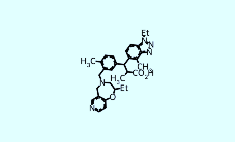 CCC1CN(Cc2cc(C(c3ccc4c(nnn4CC)c3C)C(C)C(=O)O)ccc2C)Cc2cnccc2O1